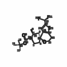 C[C@H]1C[C@@]2(CCN1C(=O)OC(C)(C)C)OCCc1sc(C(F)F)cc12